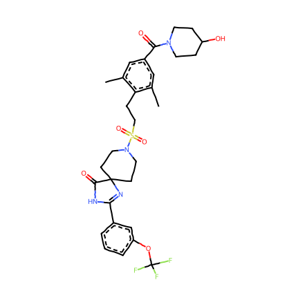 Cc1cc(C(=O)N2CCC(O)CC2)cc(C)c1CCS(=O)(=O)N1CCC2(CC1)N=C(c1cccc(OC(F)(F)F)c1)NC2=O